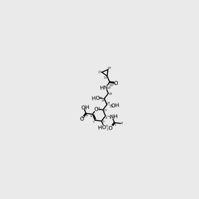 CC(=O)N[C@@H]1C(O)C=C(C(=O)O)OC1[C@@H](O)[C@@H](O)CNC(=O)C1CC1